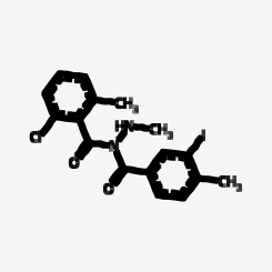 CNN(C(=O)c1ccc(C)c(I)c1)C(=O)c1c(C)cccc1Cl